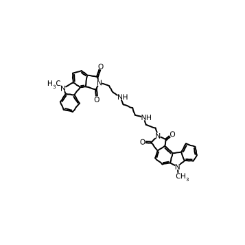 Cn1c2ccccc2c2c3c(ccc21)C(=O)N(CCNCCCNCCN1C(=O)c2ccc4c(c2C1=O)c1ccccc1n4C)C3=O